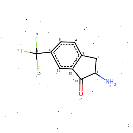 NC1Cc2ccc(C(F)(F)F)cc2C1=O